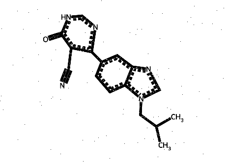 CC(C)Cn1cnc2cc(-c3nc[nH]c(=O)c3C#N)ccc21